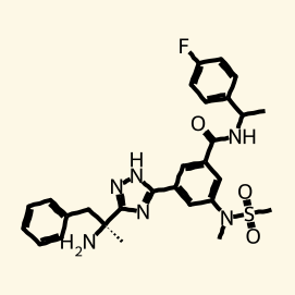 CC(NC(=O)c1cc(-c2nc([C@@](C)(N)Cc3ccccc3)n[nH]2)cc(N(C)S(C)(=O)=O)c1)c1ccc(F)cc1